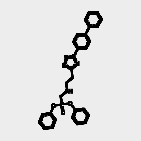 O=P(CNCCc1nnn(-c2ccc(-c3ccccc3)cc2)n1)(Oc1ccccc1)Oc1ccccc1